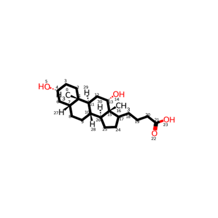 C[C@]12CC[C@@H](O)C[C@H]1CC[C@@H]1[C@@H]2C[C@H](O)[C@]2(C)C(CCCC(=O)O)CC[C@@H]12